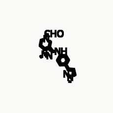 Cn1ccc(-c2ccc(Nc3nn(C)c4c3CN(C=O)CC4)cc2)n1